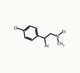 CCN(C)CC(C(C)=O)c1ccc(Cl)cc1